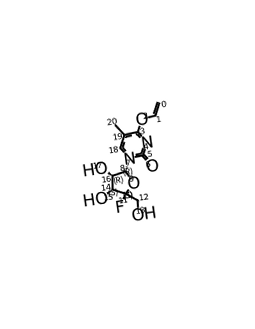 C=COc1nc(=O)n([C@@H]2O[C@](F)(CO)[C@@H](O)[C@H]2O)cc1C